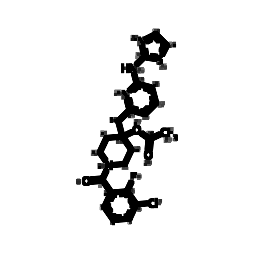 O=C(c1cccc(Cl)c1F)N1CCC(Cc2cccc(Nc3nccs3)n2)(OC(=O)C(F)(F)F)CC1